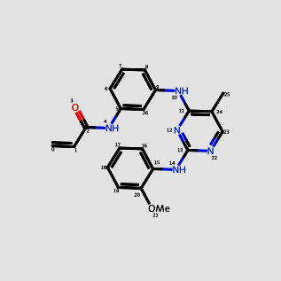 C=CC(=O)Nc1cccc(Nc2nc(Nc3ccccc3OC)ncc2C)c1